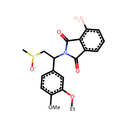 Bc1cccc2c1C(=O)N(C(C[S+](C)[O-])c1ccc(OC)c(OCC)c1)C2=O